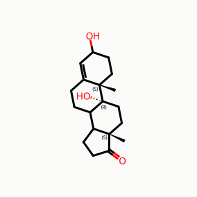 C[C@]12CCC(O)C=C1CCC1C3CCC(=O)[C@@]3(C)CC[C@@]12O